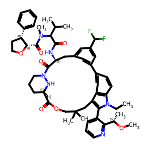 CCn1c(-c2cccnc2[C@H](C)OC)c2c3cc(ccc31)-c1cc(cc(C(F)F)c1)C[C@H](NC(=O)C(C(C)C)N(C)C(=O)[C@@H]1OCC[C@@H]1c1ccccc1)C(=O)N1CCC[C@H](N1)C(=O)OCC(C)(C)C2